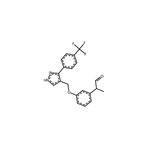 CC(C=O)c1cccc(OCc2c[nH]nc2-c2ccc(C(F)(F)F)cc2)c1